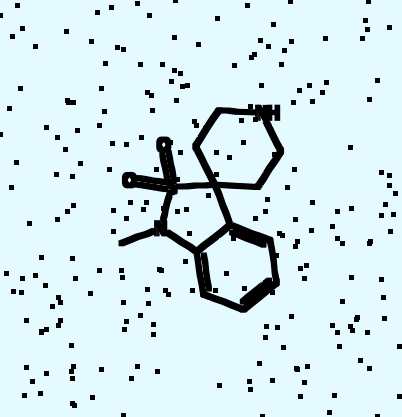 CN1c2ccccc2C2(CCNCC2)S1(=O)=O